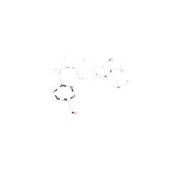 Cl.O=C(O)c1ccc2c(c1)C1OC(C34CC5CC(CC(C5)C3)C4)CCC1CN2